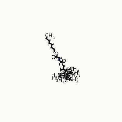 CCCCCCCCOC(=O)/C=C/C(=O)OCCC[Si](O[Si](C)(C)C)(O[Si](C)(C)C)O[Si](C)(C)C